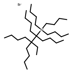 CCCCC(CC)(CCCC)C(CCCC)(CCCC)[N+](CCCC)(CCCC)CCCC.[Br-]